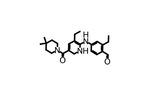 CCC1=C(Nc2ccc(C=O)c(CC)c2)NCC(C(=O)N2CCC(C)(C)CC2)=C1